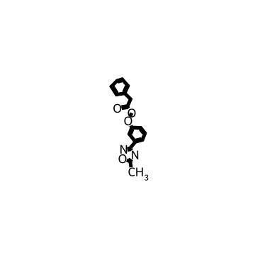 Cc1nc(-c2cccc(OOC(=O)Cc3ccccc3)c2)no1